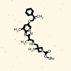 Cc1cc(OC[C@H](C)c2ccccc2)cn2nc(C(C)CNCC3(N)CN(C(=O)OC(C)(C)C)C3)nc12